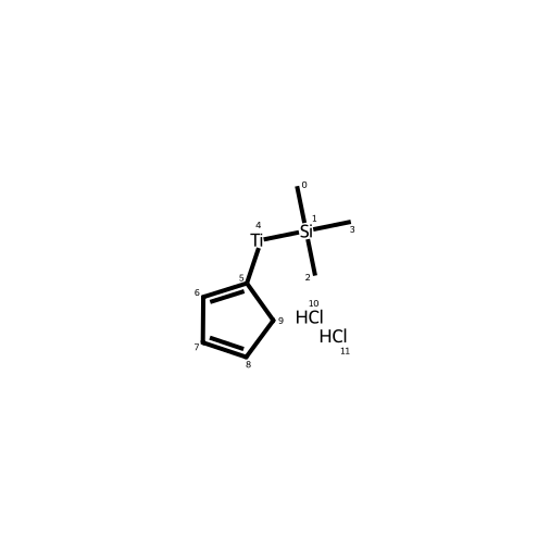 C[Si](C)(C)[Ti][C]1=CC=CC1.Cl.Cl